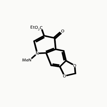 CCOC(=O)c1cn(NC)c2cc3c(cc2c1=O)OCO3